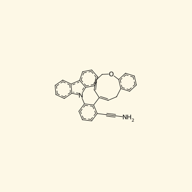 NC#Cc1cccc(-n2c3ccccc3c3ccccc32)c1C1=C/Cc2ccccc2OC/C=C\1